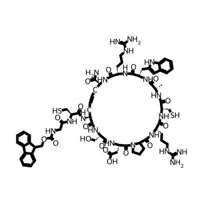 C[C@@H]1NC(=O)[C@H](CS)NC(=O)[C@H](CCCNC(=N)N)NC(=O)C2CCCN2C(=O)[C@H](CC(=O)O)NC(=O)[C@H](CO)NC(=O)[C@@H](NC(=O)[C@H](CS)NC(=O)CNC(=O)OCC2c3ccccc3-c3ccccc32)CC=CC[C@@H](C(N)=O)NC(=O)[C@H](CCCNC(=N)N)NC(=O)[C@H](Cc2cc3ccccc3[nH]2)NC1=O